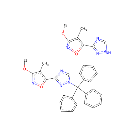 CCOc1noc(-c2nc[nH]n2)c1C.CCOc1noc(-c2ncn(C(c3ccccc3)(c3ccccc3)c3ccccc3)n2)c1C